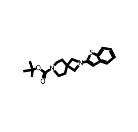 CC(C)(C)OC(=O)N1CCC2(CC1)CN(c1cc3ccccc3s1)C2